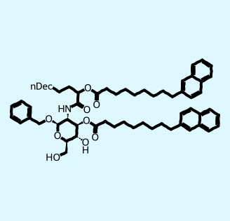 CCCCCCCCCCCCC(OC(=O)CCCCCCCCc1ccc2ccccc2c1)C(=O)N[C@H]1[C@H](OCc2ccccc2)O[C@H](CO)[C@@H](O)[C@@H]1OC(=O)CCCCCCCCc1ccc2ccccc2c1